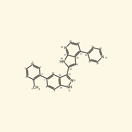 Cc1ccncc1-c1ccc2[nH]nc(-c3cc4c(-c5ccncc5)ccnc4[nH]3)c2c1